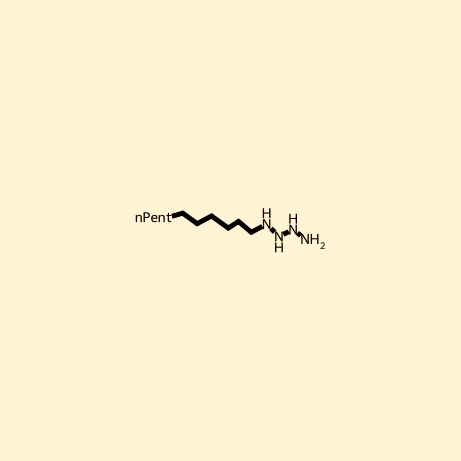 CCCCCCCCCCCNNNN